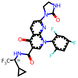 O=C(N[C@@H](C1CC1)C(F)(F)F)c1cn(-c2c(F)cc(F)cc2F)c2nc(N3CCNC3=O)ccc2c1=O